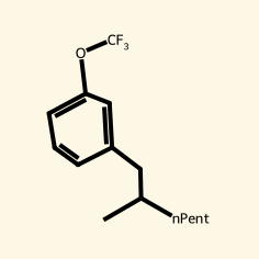 CCCCCC(C)Cc1cccc(OC(F)(F)F)c1